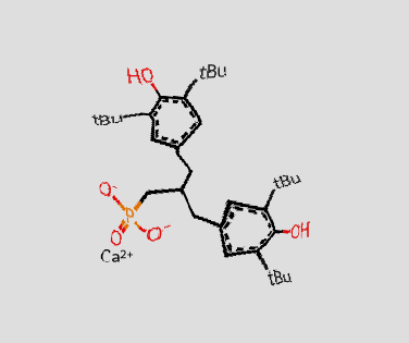 CC(C)(C)c1cc(CC(Cc2cc(C(C)(C)C)c(O)c(C(C)(C)C)c2)CP(=O)([O-])[O-])cc(C(C)(C)C)c1O.[Ca+2]